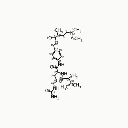 CCN(C)CCN(C)C(=O)OCc1ccc(NC(=O)[C@H](CCCNC(N)=O)NC(=O)[C@@H](N)C(C)C)cc1